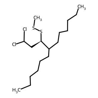 CCCCCCC(CCCCCC)[C@@H](CC(Cl)Cl)SSC